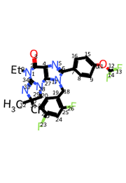 CCN1C(=O)c2nc(-c3ccc(OC(F)F)cc3)n(Cc3ccc(F)cc3F)c2N2CC(C)(C)N=C12